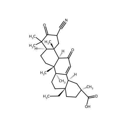 CC[C@]12CC[C@](C)(C(=O)O)C[C@@H]1C1=CC(=O)[C@@H]3[C@@]4(C)CC(C#N)C(=O)C(C)(C)[C@@H]4CC[C@@]3(C)[C@]1(C)CC2